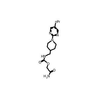 CCCc1cnc(N2CCC(CNC(=O)OCC(N)=O)CC2)nc1